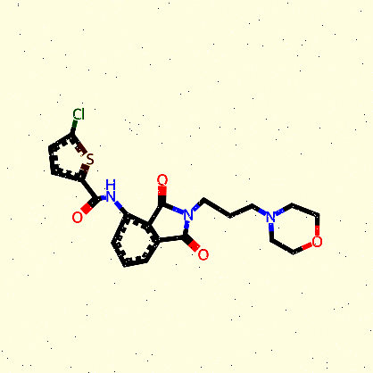 O=C(Nc1cccc2c1C(=O)N(CCCN1CCOCC1)C2=O)c1ccc(Cl)s1